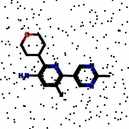 Cc1ncc(-c2nc(C3CCOCC3)c(N)cc2C)cn1